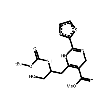 COC(=O)C1=C(CC(CO)NC(=O)OC(C)(C)C)NC(c2nccs2)=NC1